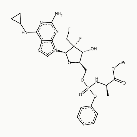 CC(C)OC(=O)[C@@H](C)NP(=O)(OC[C@H]1O[C@@H](n2cnc3c(NC4CC4)nc(N)nc32)[C@@](F)(CF)[C@@H]1O)Oc1ccccc1